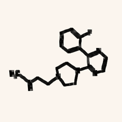 CNCCN1CCN(c2nccnc2-c2ccccc2F)CC1